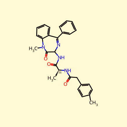 Cc1ccc(CC(=O)N[C@@H](C)C(=O)NC2N=C(c3ccccc3)c3ccccc3N(C)C2=O)cc1